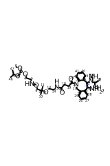 COP(OCCNOCC(C)(C)OCCNC(=O)CCC(=O)N1Cc2ccccc2/C(N)=C(/N(N)C(C)P)c2ccccc21)OC(C)C